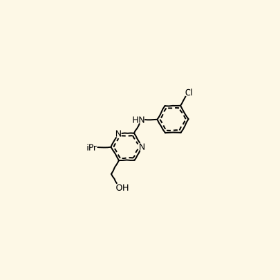 CC(C)c1nc(Nc2cccc(Cl)c2)ncc1CO